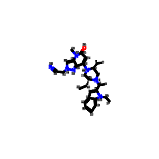 CC[C@H]1CN(C(C)c2cc3ccccc3n2CC)[C@H](CC)CN1c1cc(=O)n(C)c2cn(CC#N)nc12